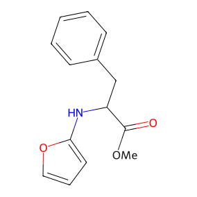 COC(=O)C(Cc1ccccc1)Nc1ccco1